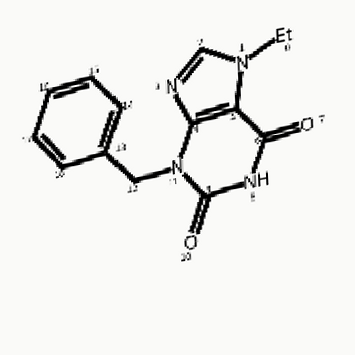 CCn1cnc2c1c(=O)[nH]c(=O)n2Cc1ccccc1